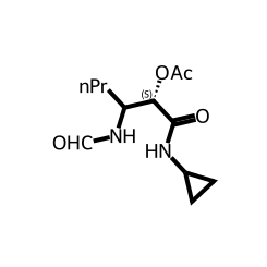 CCCC(NC=O)[C@H](OC(C)=O)C(=O)NC1CC1